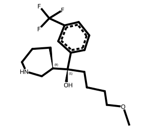 COCCCC[C@@](O)(c1cccc(C(F)(F)F)c1)[C@@H]1CCCNC1